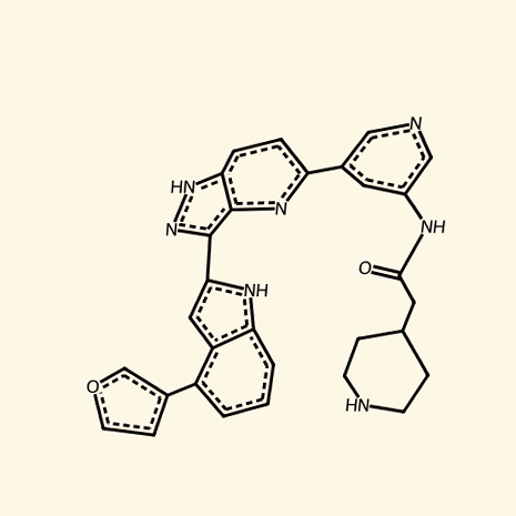 O=C(CC1CCNCC1)Nc1cncc(-c2ccc3[nH]nc(-c4cc5c(-c6ccoc6)cccc5[nH]4)c3n2)c1